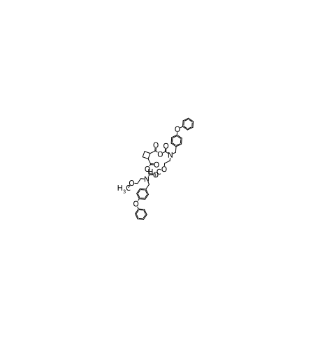 COCCN(Cc1ccc(Oc2ccccc2)cc1)C(=O)OC(=O)C1CCC1C(=O)OC(=O)N(CCOC)Cc1ccc(Oc2ccccc2)cc1